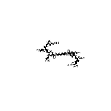 CCCSC1=C(CCC(SCCC)C(C)CCC(SCCC)C(C)C)CCC(C(=O)OCCCCCCOC(=O)C2CCC(CCC(SCCO)C(C)CCC(SCCO)C(C)C)C(SCCO)C2)C1